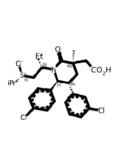 CC[C@@H](C[S@@+]([O-])C(C)C)N1C(=O)[C@@](C)(CC(=O)O)C[C@H](c2cccc(Cl)c2)[C@H]1c1ccc(Cl)cc1